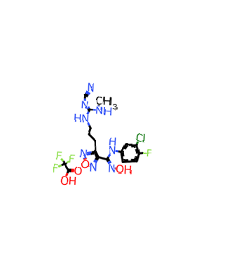 CN/C(=N\C#N)NCCCc1nonc1/C(=N/O)Nc1ccc(F)c(Cl)c1.O=C(O)C(F)(F)F